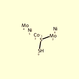 S[S][Mo].[Co].[Mo].[Ni].[Ni]